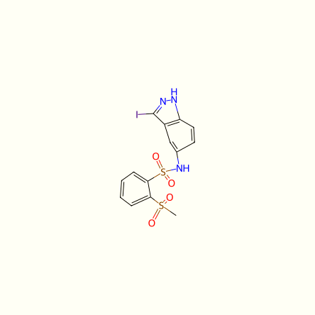 CS(=O)(=O)c1ccccc1S(=O)(=O)Nc1ccc2[nH]nc(I)c2c1